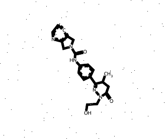 CC1CC(=O)N(CCO)N=C1c1ccc(NC(=O)N2Cc3cccnc3C2)cc1